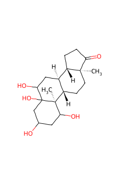 C[C@]12CC[C@H]3[C@@H](CC(O)C4(O)CC(O)CC(O)[C@]34C)[C@@H]1CCC2=O